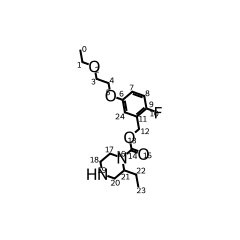 CCOCCOc1ccc(F)c(COC(=O)N2CCNCC2CC)c1